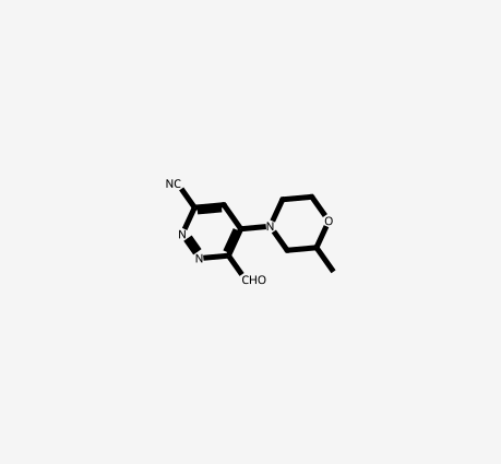 CC1CN(c2cc(C#N)nnc2C=O)CCO1